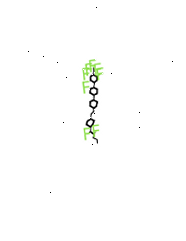 CCC/C(F)=C(\F)c1ccc(CCc2ccc(-c3ccc(-c4cc(F)c(C(F)(F)F)c(F)c4)c(F)c3)cc2)cc1